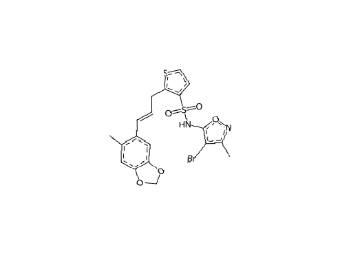 Cc1cc2c(cc1/C=C/Cc1sccc1S(=O)(=O)Nc1onc(C)c1Br)OCO2